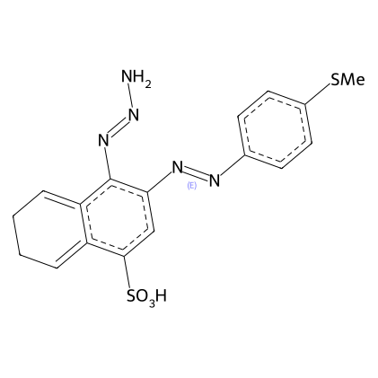 CSc1ccc(/N=N/c2cc(S(=O)(=O)O)c3c(c2N=NN)=CCCC=3)cc1